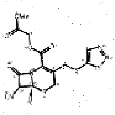 COC(=O)COC(=O)C1=C(CSc2cnns2)CS[C@@H]2C(N)C(=O)N12